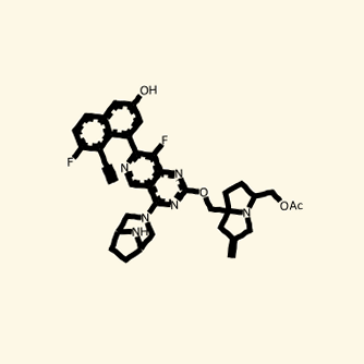 C#Cc1c(F)ccc2cc(O)cc(-c3ncc4c(N5CC6CCC(C5)N6)nc(OCC56CCC(COC(C)=O)N5CC(=C)C6)nc4c3F)c12